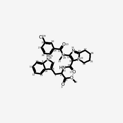 COC(=O)C(Cc1c[nH]c2ccccc12)NC(=O)c1c(N(C)C(=O)c2cccc(Cl)c2)nc2n1CCCC2